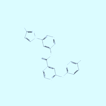 Cc1ccc(Nc2cc(C(=O)Nc3cncc(-n4ccc(C(F)(F)F)n4)c3)ccn2)nc1